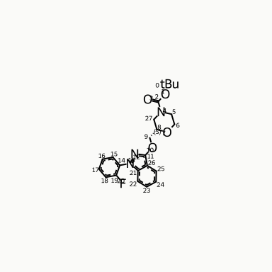 CC(C)(C)OC(=O)N1CCO[C@H](COc2nn(-c3ccccc3F)c3ccccc23)C1